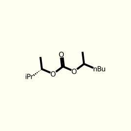 CCCCC(C)OC(=O)O[C@@H](C)C(C)C